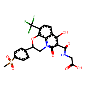 CS(=O)(=O)c1ccc(C2Cn3c(=O)c(C(=O)NCC(=O)O)c(O)c4ccc(C(F)(F)F)c(c43)O2)cc1